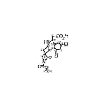 CC(C)(C)OC(=O)N1CC2(CC(NC(CC(=O)O)c3cc(Cl)cc(Cl)c3)C2)C1